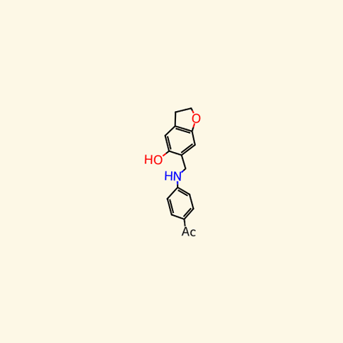 CC(=O)c1ccc(NCc2cc3c(cc2O)CCO3)cc1